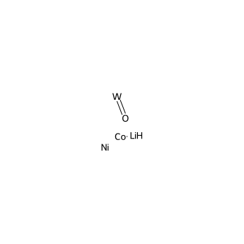 [Co].[LiH].[Ni].[O]=[W]